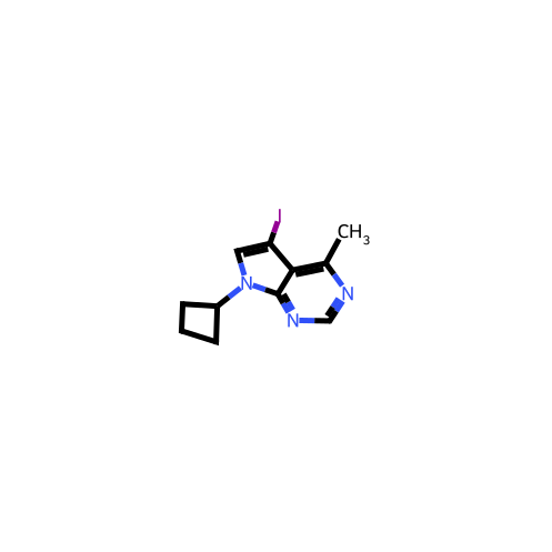 Cc1ncnc2c1c(I)cn2C1CCC1